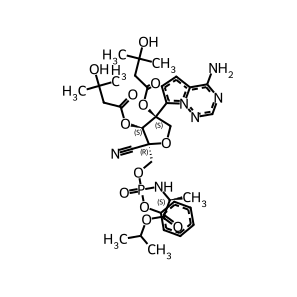 CC(C)OC(=O)[C@H](C)NP(=O)(OC[C@@]1(C#N)OC[C@@](OC(=O)CC(C)(C)O)(c2ccc3c(N)ncnn23)[C@@H]1OC(=O)CC(C)(C)O)Oc1ccccc1